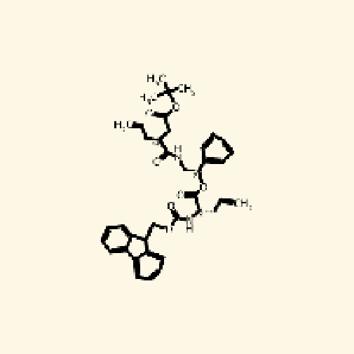 C=CC[C@@H](CC(=O)OC(C)(C)C)C(=O)NC[C@H](OC(=O)[C@H](CC=C)NC(=O)OCC1c2ccccc2-c2ccccc21)c1ccccc1